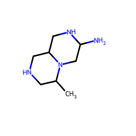 CC1CNCC2CNC(N)CN12